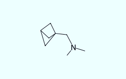 CN(C)CC12CC(C1)C2